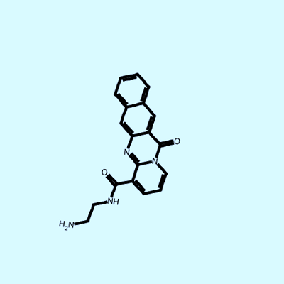 NCCNC(=O)c1cccn2c(=O)c3cc4ccccc4cc3nc12